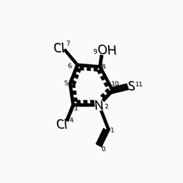 C=Cn1c(Cl)cc(Cl)c(O)c1=S